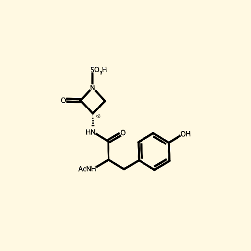 CC(=O)NC(Cc1ccc(O)cc1)C(=O)N[C@H]1CN(S(=O)(=O)O)C1=O